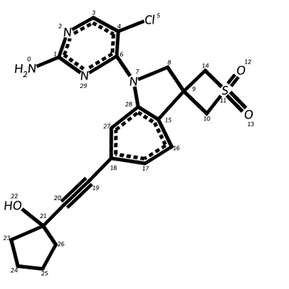 Nc1ncc(Cl)c(N2CC3(CS(=O)(=O)C3)c3ccc(C#CC4(O)CCCC4)cc32)n1